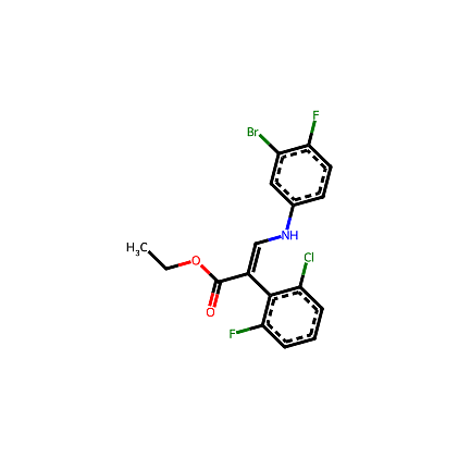 CCOC(=O)/C(=C/Nc1ccc(F)c(Br)c1)c1c(F)cccc1Cl